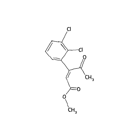 COC(=O)C=C(C(C)=O)c1cccc(Cl)c1Cl